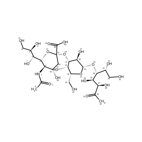 CC(=O)N[C@H]1[C@H]([C@H](O)[C@H](O)CO)O[C@@](O[C@H]2[C@@H](O)[C@@H](CO)O[C@@H](O[C@@H]([C@H](O)[C@@H](O)C(C)=O)[C@H](O)CO)[C@@H]2O)(C(=O)O)C[C@@H]1O